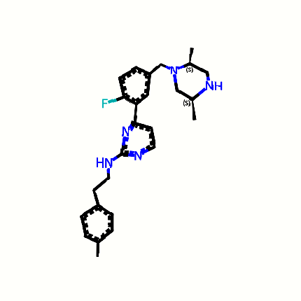 Cc1ccc(CCNc2nccc(-c3cc(CN4C[C@H](C)NC[C@@H]4C)ccc3F)n2)cc1